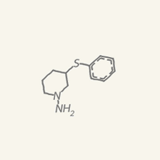 NN1CCCC(Sc2ccccc2)C1